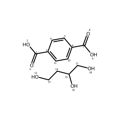 O=C(O)c1ccc(C(=O)O)cc1.OCCC(O)CO